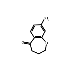 Bc1ccc2c(c1)OCCCC2=O